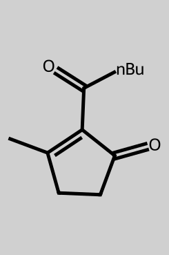 CCCCC(=O)C1=C(C)CCC1=O